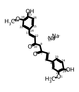 COc1cc(C=CC(=O)CC(=O)C=Cc2ccc(O)c(OC)c2)ccc1O.[Na].[Na]